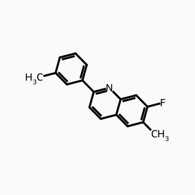 Cc1cccc(-c2ccc3cc(C)c(F)cc3n2)c1